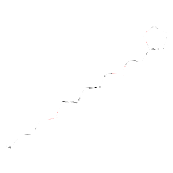 N#CCCCOCCCCCOCCC1CCCO1